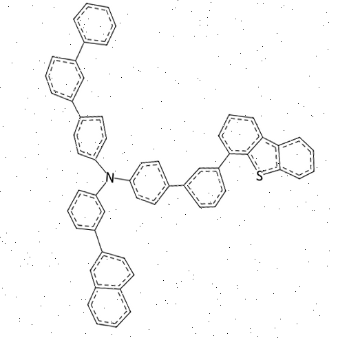 c1ccc(-c2cccc(-c3ccc(N(c4ccc(-c5cccc(-c6cccc7c6sc6ccccc67)c5)cc4)c4cccc(-c5ccc6ccccc6c5)c4)cc3)c2)cc1